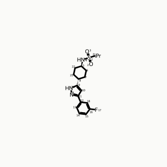 CC(C)S(=O)(=O)N[C@H]1CC[C@H](c2cc(-c3cccc(F)c3)n[nH]2)CC1